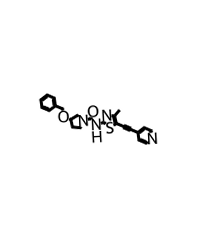 Cc1nc(NC(=O)N2CCC(OCc3ccccc3)C2)sc1C#Cc1ccncc1